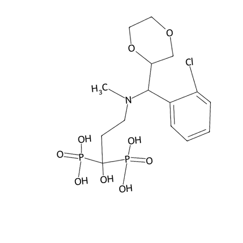 CN(CCC(O)(P(=O)(O)O)P(=O)(O)O)C(c1ccccc1Cl)C1COCCO1